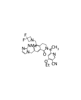 CCOc1cc([C@H](C)N2CCc3c(CN4CC(F)(F)C4)cc(Cn4ccnc4NC)cc3C2=O)ncc1C#N